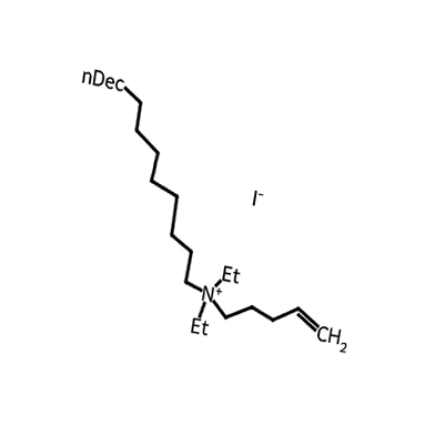 C=CCCC[N+](CC)(CC)CCCCCCCCCCCCCCCCCC.[I-]